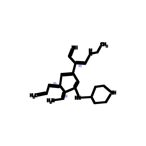 C=C/C=c1/cc(/C(C=N)=C/NCC)cc(NC2CCNCC2)/c1=C/N